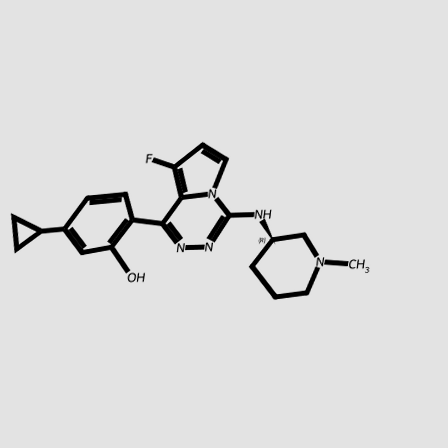 CN1CCC[C@@H](Nc2nnc(-c3ccc(C4CC4)cc3O)c3c(F)ccn23)C1